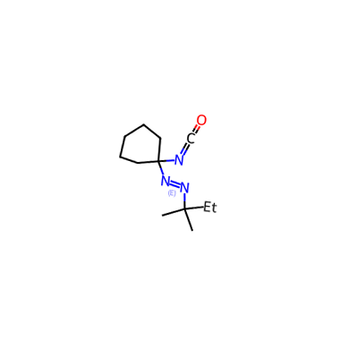 CCC(C)(C)/N=N/C1(N=C=O)CCCCC1